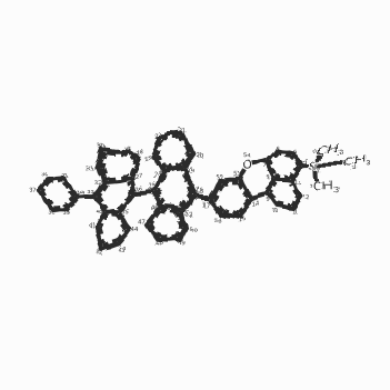 C[Si](C)(C)c1ccc2c3c(cccc13)-c1ccc(-c3c4ccccc4c(-c4c5ccccc5c(-c5ccccc5)c5ccccc45)c4ccccc34)cc1O2